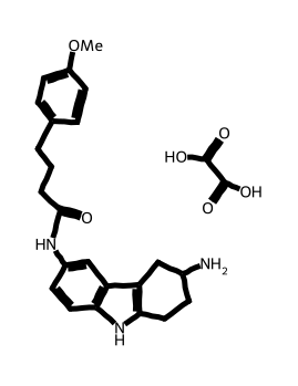 COc1ccc(CCCC(=O)Nc2ccc3[nH]c4c(c3c2)CC(N)CC4)cc1.O=C(O)C(=O)O